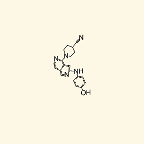 N#CC1CCN(c2nccc3cnc(Nc4ccc(O)cc4)cc23)CC1